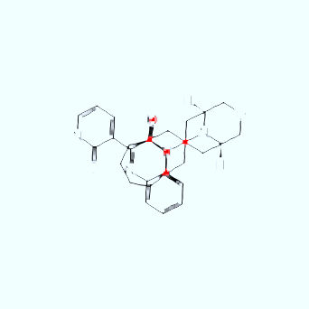 O=c1[nH]cccc1-c1nc2ccccc2n(C2C[C@H]3COC[C@@H](C2)N3C2C[C@H]3CCCC[C@@H](C2)C3)c1=O